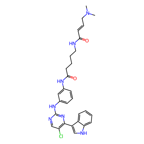 CN(C)C/C=C/C(=O)NCCCCC(=O)Nc1cccc(Nc2ncc(Cl)c(-c3c[nH]c4ccccc34)n2)c1